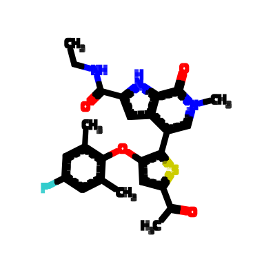 CCNC(=O)c1cc2c(-c3sc(C(C)=O)cc3Oc3c(C)cc(F)cc3C)cn(C)c(=O)c2[nH]1